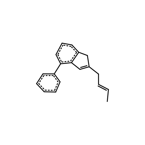 C/C=C/CC1=Cc2c(cccc2-c2ccccc2)C1